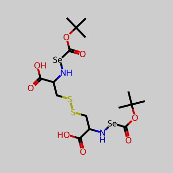 CC(C)(C)OC(=O)[Se]NC(CSSCC(N[Se]C(=O)OC(C)(C)C)C(=O)O)C(=O)O